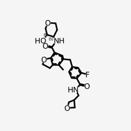 Cc1c(Cc2ccc(C(=O)NCC3COC3)c(F)c2)cc(C(=O)N[C@H]2CCOC[C@@H]2O)c2c1CCO2